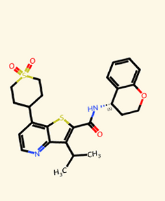 CC(C)c1c(C(=O)N[C@H]2CCOc3ccccc32)sc2c(C3CCS(=O)(=O)CC3)ccnc12